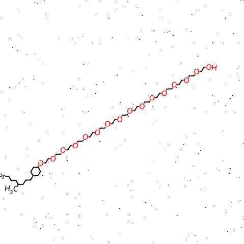 CC(C)CCCC(C)CCCC1CCC(OCCOCCOCCOCCOCCOCCOCCOCCOCCOCCOCCOCCOCCOCCOCCO)CC1